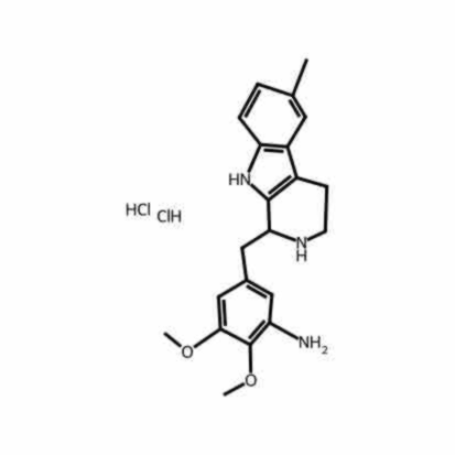 COc1cc(CC2NCCc3c2[nH]c2ccc(C)cc32)cc(N)c1OC.Cl.Cl